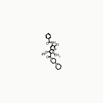 CCc1nc2c(cc1NC(=O)c1ccccc1)c(OC(C)C)c(C(=O)N1CCC(N3CCCCC3)CC1)n2C